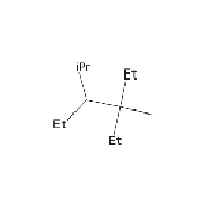 [CH2]C(C)C(CC)C(C)(CC)CC